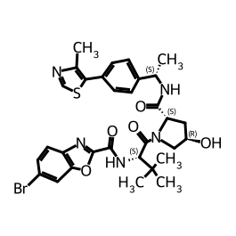 Cc1ncsc1-c1ccc([C@H](C)NC(=O)[C@@H]2C[C@@H](O)CN2C(=O)[C@@H](NC(=O)c2nc3ccc(Br)cc3o2)C(C)(C)C)cc1